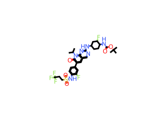 CC(C)n1c(=O)c(-c2ccc(NS(=O)(=O)CCC(F)(F)F)c(F)c2)cc2cnc(NC3CCC(NC(=O)OC(C)(C)C)C(F)C3)nc21